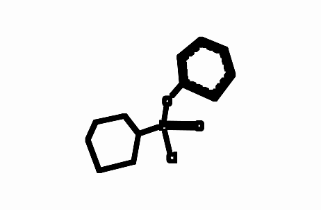 O=P(Cl)(Oc1ccccc1)C1CCCCC1